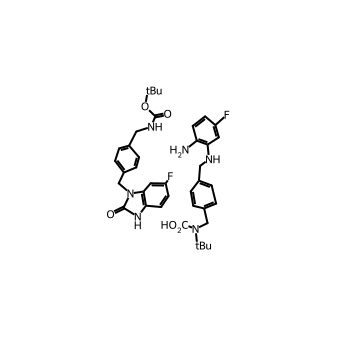 CC(C)(C)N(Cc1ccc(CNc2cc(F)ccc2N)cc1)C(=O)O.CC(C)(C)OC(=O)NCc1ccc(Cn2c(=O)[nH]c3ccc(F)cc32)cc1